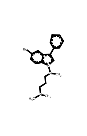 CN(C)CCCN(C)n1cc(-c2ccccc2)c2cc(Br)ccc21